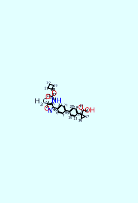 Cc1onc(-c2ccc(-c3ccc(C4(C(=O)O)CC4)cc3)cc2)c1NC(=O)OC1CCC1